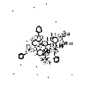 CCCS(=O)(=O)C[C@@H]1C[C@H](C)[C@@H](O[C@H]2O[C@@H]3COC(c4ccccc4)O[C@H]3[C@H](C)[C@H]2NC(=O)OCc2ccccc2)[C@H](O[C@@H]2O[C@H](CC)[C@@H](O[C@H]3O[C@@H](CC)[C@@H](O[Si](C)(C)C(C)(C)C)[C@H](O[Si](C)(C)C(C)(C)C)[C@H]3NC(=O)OCc3ccccc3)[C@H]2O[Si](C)(C)C(C)(C)C)[C@H]1O